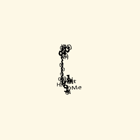 CCn1nc(C2CC2)cc1Nc1nc(C(=O)NCCOCCOCCOCCCCNc2cccc3c2C(=O)N(C2CCC(=O)NC2=O)C3=O)nc2[nH]c3cc(-c4c(C)noc4C)c(OC)cc3c12